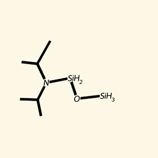 CC(C)N([SiH2]O[SiH3])C(C)C